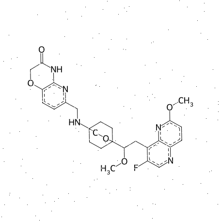 COc1ccc2ncc(F)c(CC(OC)C34CCC(NCc5ccc6c(n5)NC(=O)CO6)(CC3)CO4)c2n1